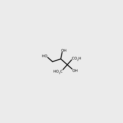 O=C(O)C(O)(C(=O)O)C(O)CO